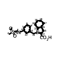 CS(=O)(=O)CNc1cccc(Cn2c(C(=O)O)cc3ccccc32)c1